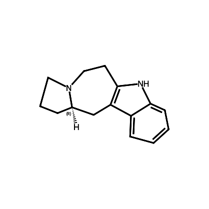 c1ccc2c3c([nH]c2c1)CCN1CCC[C@@H]1C3